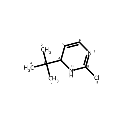 CC(C)(C)C1C=CN=C(Cl)N1